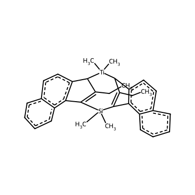 CCC1=C2c3c(ccc4ccccc34)[CH]1[Ti]([CH3])([CH3])[CH]1C(CC)=C(c3c1ccc1ccccc31)[Si]2(C)C